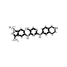 Cc1nn(C)c2ccc(Nc3nc(Nc4ccc5c(c4)CCNC5)ncc3Cl)cc12